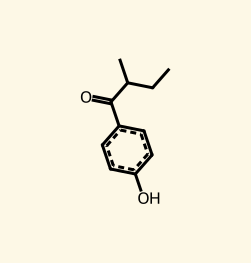 CCC(C)C(=O)c1ccc(O)cc1